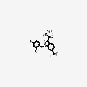 NNC(=O)c1nn(Cc2ccc(F)cc2Cl)c2cc(C(F)F)ccc12